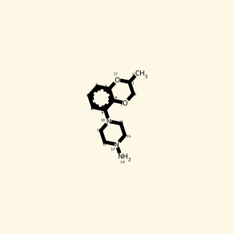 CC1COc2c(cccc2N2CCN(N)CC2)O1